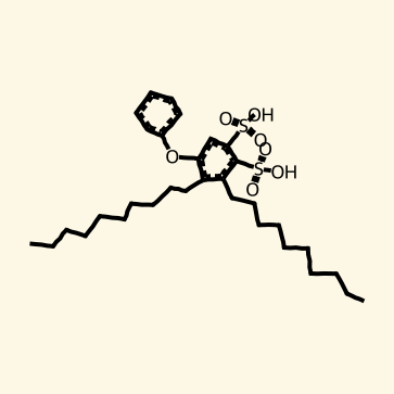 CCCCCCCCCCc1c(Oc2ccccc2)cc(S(=O)(=O)O)c(S(=O)(=O)O)c1CCCCCCCCCC